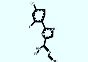 CC(C)N/C(=N\C=N)c1c[nH]c(-c2ccc(Br)cc2F)n1